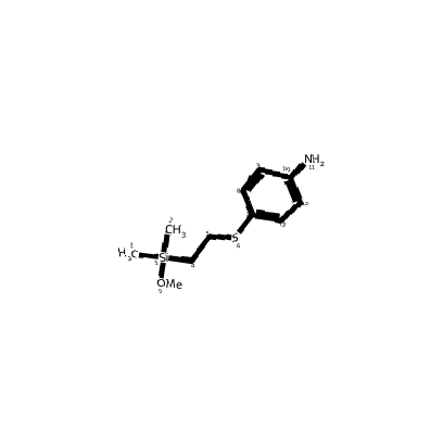 CO[Si](C)(C)CCSc1ccc(N)cc1